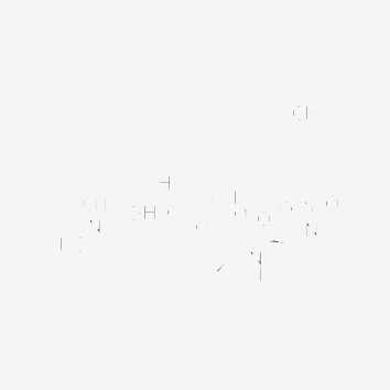 Cc1ccc(S(=O)(=O)N2CCC[C@H]2C(=O)N[C@@H](Cc2ccc(CC(=O)N(C)C)cc2)C(=O)OC(C)(C)C)cc1